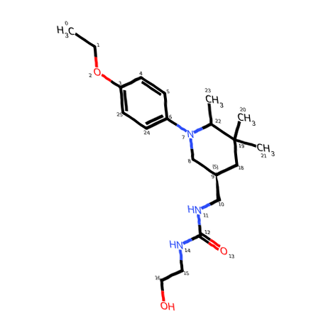 CCOc1ccc(N2C[C@H](CNC(=O)NCCO)CC(C)(C)C2C)cc1